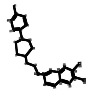 Cc1ccc(N2CCC(CCOc3ccc4nc(Cl)c(Cl)nc4c3)CC2)nn1